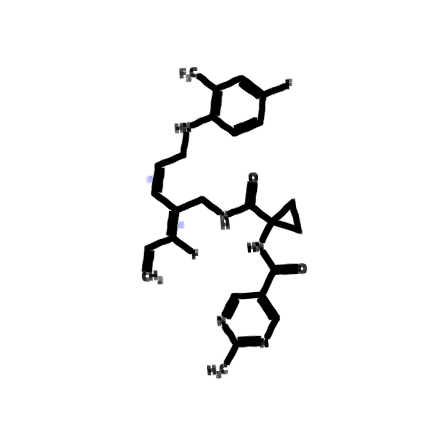 C=C/C(F)=C(\C=C/CNc1ccc(F)cc1C(F)(F)F)CNC(=O)C1(NC(=O)c2cnc(C)nc2)CC1